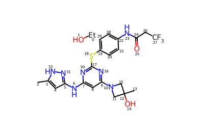 CCO.Cc1cc(Nc2cc(N3CC(C)(O)C3)nc(Sc3ccc(NC(=O)CC(F)(F)F)cc3)n2)n[nH]1